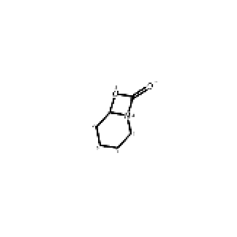 O=C1O[C]2CCCCN21